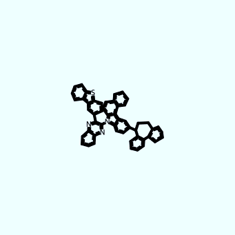 c1ccc2c(c1)CCC(c1ccc3c(c1)c1c4ccccc4ccc1n3-c1nc3ccccc3nc1-c1ccc3sc4ccccc4c3c1)c1ccccc1-2